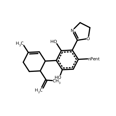 C=C(C)C1CCC(C)=CC1c1c(O)cc(CCCCC)c(C2=NCCO2)c1O